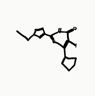 CCn1cc(-c2nc(C3CCCC3)c(I)c(=O)[nH]2)cn1